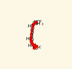 CC(=O)c1c(C)c2cnc(Nc3ccc(N4CCN(CC(=O)NCCOCCOCCOCCOCCOCCNc5ccc(C(=O)Nc6ncc(C(F)(F)F)s6)c(C)c5)CC4)cn3)nc2n(C2CCCC2)c1=O